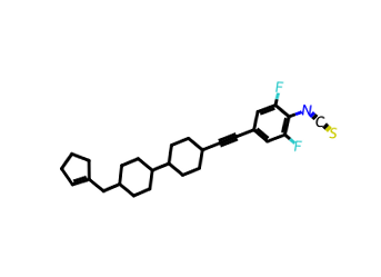 Fc1cc(C#CC2CCC(C3CCC(CC4=CCCC4)CC3)CC2)cc(F)c1N=C=S